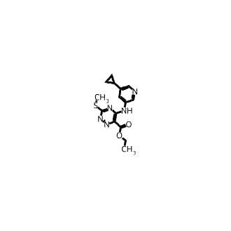 CCOC(=O)c1nnc(SC)nc1Nc1cncc(C2CC2)c1